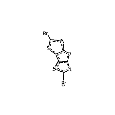 Brc1nc2oc3nc(Br)sc3c2s1